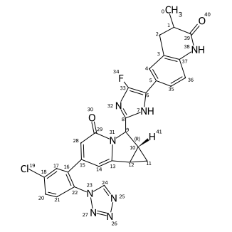 CC1Cc2cc(-c3[nH]c(C4[C@@H]5CC5c5cc(-c6cc(Cl)ccc6-n6cnnn6)cc(=O)n54)nc3F)ccc2NC1=O